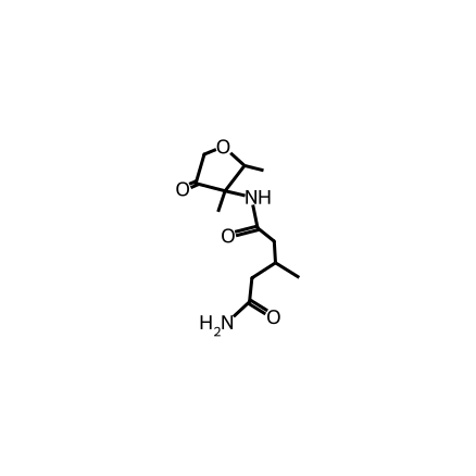 CC(CC(N)=O)CC(=O)NC1(C)C(=O)COC1C